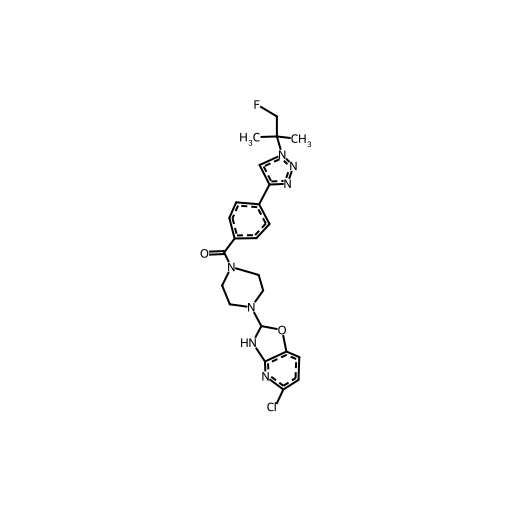 CC(C)(CF)n1cc(-c2ccc(C(=O)N3CCN(C4Nc5nc(Cl)ccc5O4)CC3)cc2)nn1